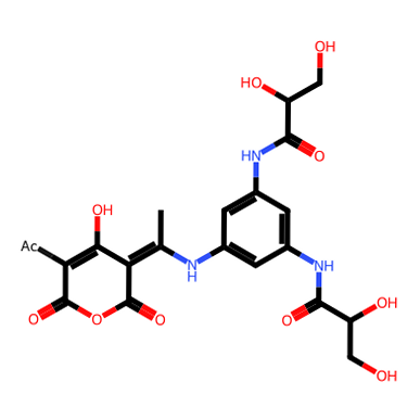 CC(=O)C1=C(O)/C(=C(\C)Nc2cc(NC(=O)C(O)CO)cc(NC(=O)C(O)CO)c2)C(=O)OC1=O